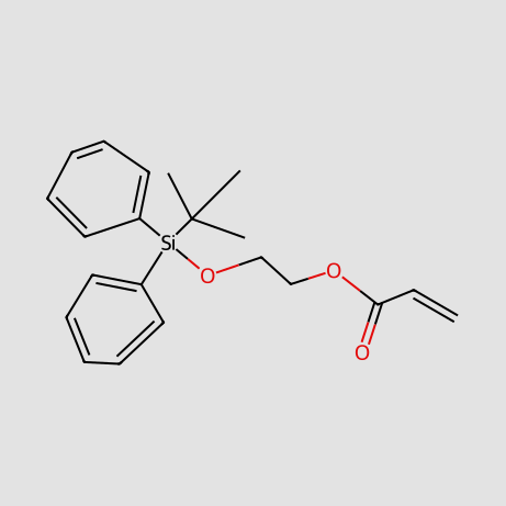 C=CC(=O)OCCO[Si](c1ccccc1)(c1ccccc1)C(C)(C)C